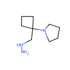 NNCC1(N2CCCC2)CCC1